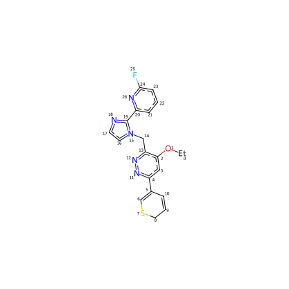 CCOc1cc(C2=CSCC=C2)nnc1Cn1ccnc1-c1cccc(F)n1